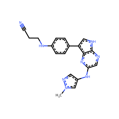 Cn1cc(Nc2cnc3[nH]cc(-c4ccc(NCCC#N)cc4)c3n2)cn1